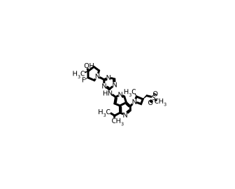 CC(C)c1ncc(N2C[C@H](CS(C)(=O)=O)[C@H]2C)c2cnc(Nc3ncnc(N4CC[C@@](C)(O)[C@@H](F)C4)n3)cc12